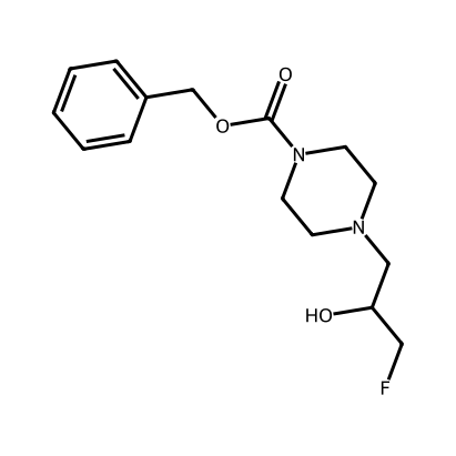 O=C(OCc1ccccc1)N1CCN(CC(O)CF)CC1